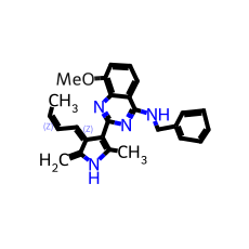 C=c1[nH]c(C)c(-c2nc(NCc3ccccc3)c3cccc(OC)c3n2)/c1=C/C=C\C